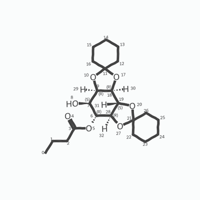 CCCC(=O)O[C@@H]1[C@@H](O)[C@H]2OC3(CCCCC3)O[C@H]2[C@@H]2OC3(CCCCC3)O[C@H]21